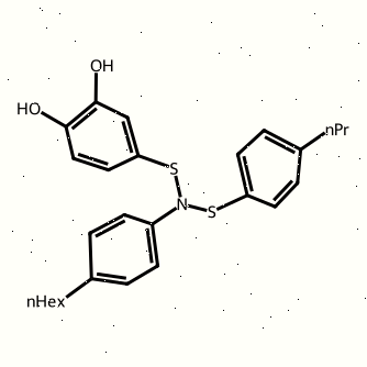 CCCCCCc1ccc(N(Sc2ccc(CCC)cc2)Sc2ccc(O)c(O)c2)cc1